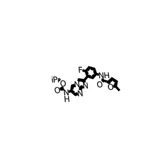 Cc1ccc(C(=O)Nc2ccc(F)c(-c3cn4cc(NC(=O)OC(C)C)cnc4n3)c2)o1